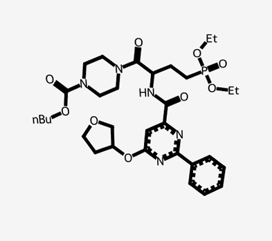 CCCCOC(=O)N1CCN(C(=O)C(CCP(=O)(OCC)OCC)NC(=O)c2cc(OC3CCOC3)nc(-c3ccccc3)n2)CC1